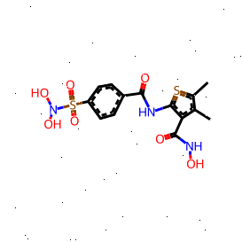 Cc1sc(NC(=O)c2ccc(S(=O)(=O)N(O)O)cc2)c(C(=O)NO)c1C